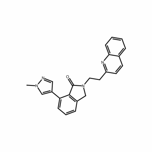 Cn1cc(-c2cccc3c2C(=O)N(CCc2ccc4ccccc4n2)C3)cn1